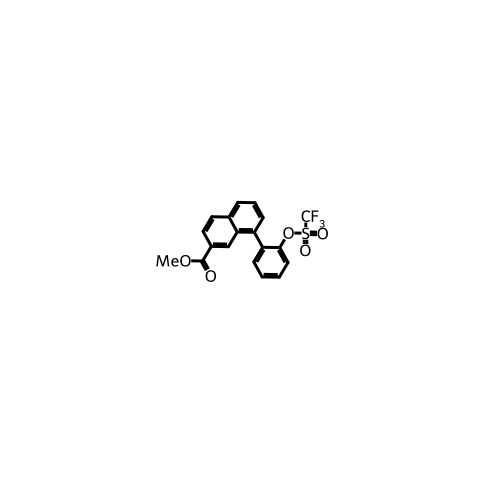 COC(=O)c1ccc2cccc(-c3ccccc3OS(=O)(=O)C(F)(F)F)c2c1